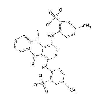 Cc1ccc(Nc2ccc(Nc3ccc(C)cc3S(=O)(=O)Cl)c3c2C(=O)c2ccccc2C3=O)c(S(=O)(=O)Cl)c1